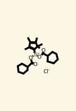 CC1=C(C)C(C)(C)[C]([Ti+]([O]C(=O)C2CCCCC2)[O]C(=O)C2CCCCC2)=C1C.[Cl-]